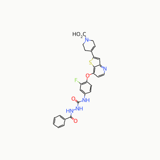 O=C(NNC(=O)c1ccccc1)Nc1ccc(Oc2ccnc3cc(C4=CCN(C(=O)O)CC4)sc23)c(F)c1